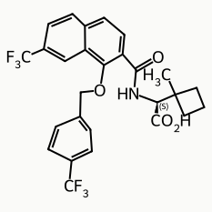 CC1([C@H](NC(=O)c2ccc3ccc(C(F)(F)F)cc3c2OCc2ccc(C(F)(F)F)cc2)C(=O)O)CCC1